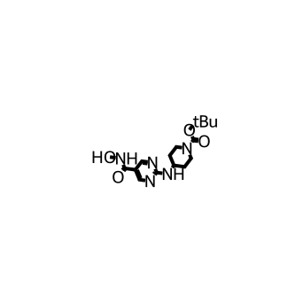 CC(C)(C)OC(=O)N1CCC(Nc2ncc(C(=O)NO)cn2)CC1